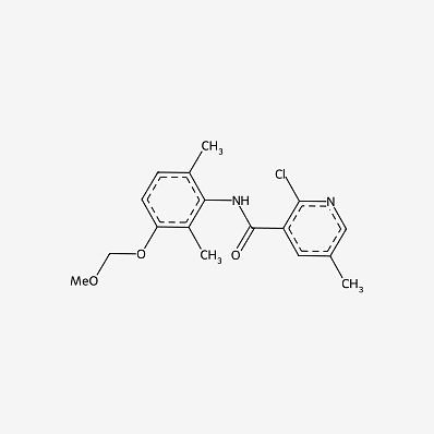 COCOc1ccc(C)c(NC(=O)c2cc(C)cnc2Cl)c1C